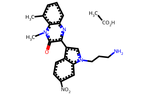 CC(=O)O.Cc1cccc2nc(-c3cn(CCCN)c4cc([N+](=O)[O-])ccc34)c(=O)n(C)c12